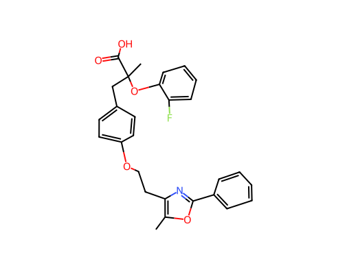 Cc1oc(-c2ccccc2)nc1CCOc1ccc(CC(C)(Oc2ccccc2F)C(=O)O)cc1